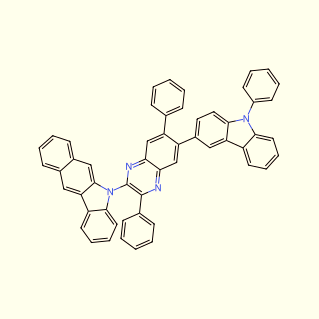 c1ccc(-c2cc3nc(-n4c5ccccc5c5cc6ccccc6cc54)c(-c4ccccc4)nc3cc2-c2ccc3c(c2)c2ccccc2n3-c2ccccc2)cc1